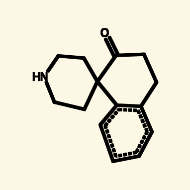 O=C1CCc2ccccc2C12CCNCC2